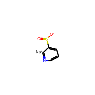 O=S([O-])c1cccnc1.[Na+]